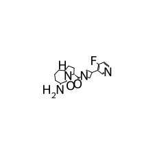 N[C@H]1CCC[C@H]2CC[C@@H](C(=O)N3CC(c4cnccc4F)C3)N2C1=O